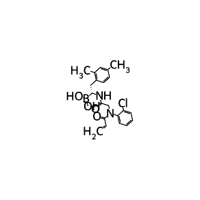 C=CC(=O)N(CC(=O)N[C@@H](Cc1ccc(C)cc1C)B(O)O)c1ccccc1Cl